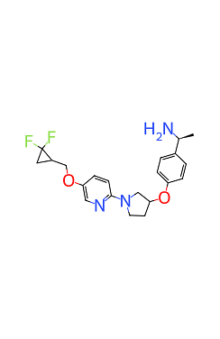 C[C@H](N)c1ccc(OC2CCN(c3ccc(OCC4CC4(F)F)cn3)C2)cc1